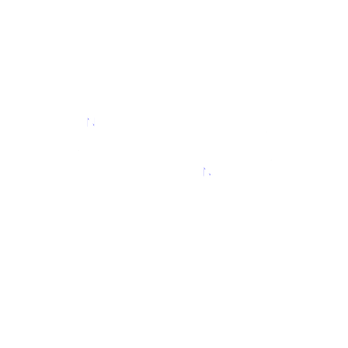 CC1(C)c2ccccc2-c2ccc(N(c3ccc(-c4ccccc4)cc3)c3ccc(-c4ccc5c(c4)CC4C=CC=CC4N5c4ccccc4)cc3)cc21